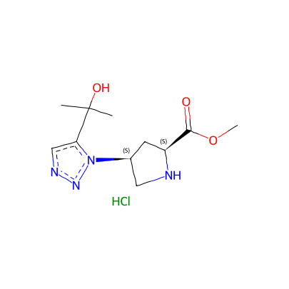 COC(=O)[C@@H]1C[C@H](n2nncc2C(C)(C)O)CN1.Cl